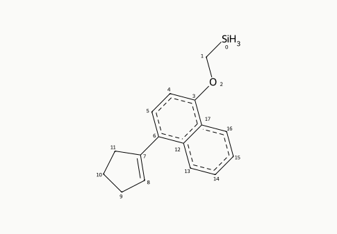 [SiH3]COc1ccc(C2=CCCC2)c2ccccc12